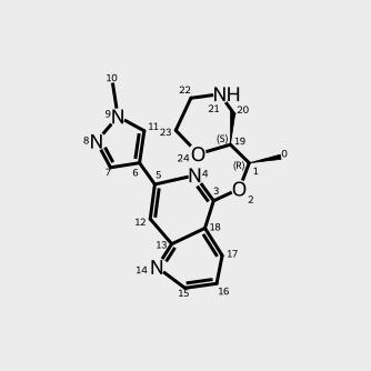 C[C@@H](Oc1nc(-c2cnn(C)c2)cc2ncccc12)[C@@H]1CNCCO1